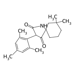 Cc1cc(C)c(C2C(=O)NC3(CCCC(C)(C)C3)C2=O)c(C)c1